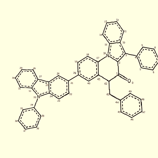 O=C1c2c(-c3ccccc3)c3ccccc3n2-c2ccc(-c3ccc4c(c3)c3ccccc3n4-c3ccccc3)cc2C1Cc1ccccc1